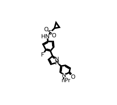 CCCn1cc(-n2ccc(-c3ccc(NS(=O)(=O)C4CC4)cc3F)n2)ccc1=O